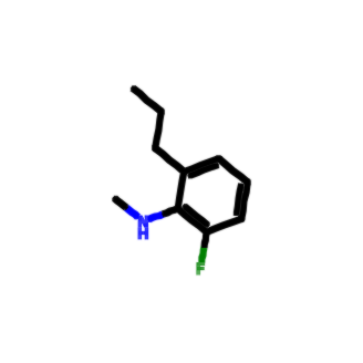 CCCc1cccc(F)c1NC